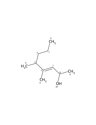 CCCC(C)C(C)=CC(C)O